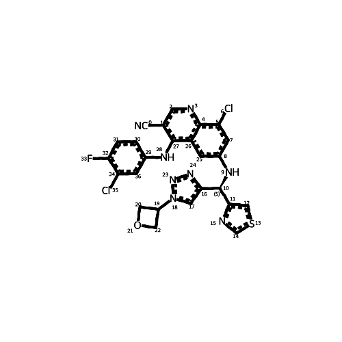 N#Cc1cnc2c(Cl)cc(N[C@@H](c3cscn3)c3cn(C4COC4)nn3)cc2c1Nc1ccc(F)c(Cl)c1